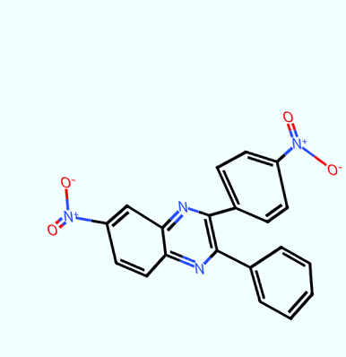 O=[N+]([O-])c1ccc(-c2nc3cc([N+](=O)[O-])ccc3nc2-c2ccccc2)cc1